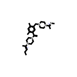 C=C(c1cc(CN2CCN(/C(C)=N/C)CC2)c(C)cc1C)N1CCN(/C(C)=C/CC)CC1